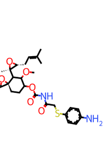 COC1C(OC(=O)NC(=O)CSc2ccc(N)cc2)CC[C@]2(CO2)C1[C@@]1(C)O[C@@H]1CC=C(C)C